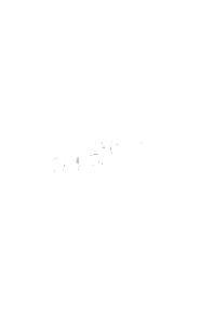 Cc1c(C(=O)Nc2ccc(F)nc2)c(C)n(C)c1C(=O)C(=O)NC1CCC(O)(C(F)(F)F)CC1